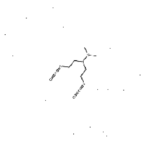 CN(C)C(CCN=C=O)CCN=C=O